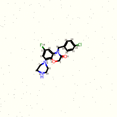 O=C1COc2c(N3CCNCC3)cc(F)cc2N1Cc1ccc(Cl)cc1